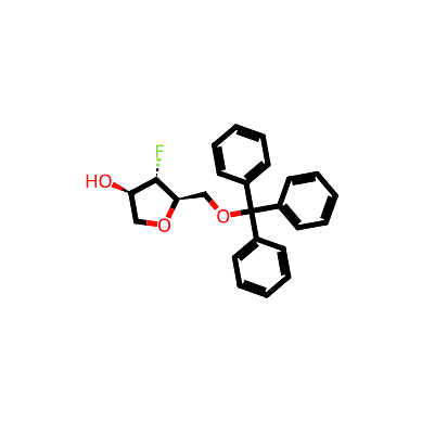 O[C@@H]1CO[C@H](COC(c2ccccc2)(c2ccccc2)c2ccccc2)[C@H]1F